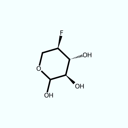 OC1OC[C@@H](F)[C@H](O)[C@H]1O